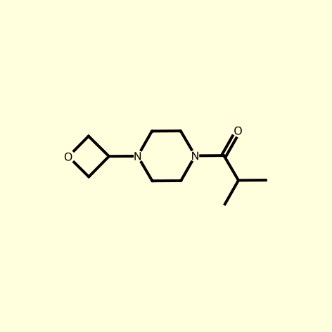 CC(C)C(=O)N1CCN(C2COC2)CC1